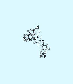 CCC1CC(Oc2ccc(OC(F)(F)F)cc2)CCN1c1nc2nncn2c2ccc(C#N)nc12